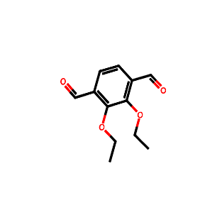 CCOc1c(C=O)ccc(C=O)c1OCC